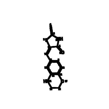 O=C1NC(=S)SC1=Cc1ccc2c(c1)NCCO2